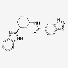 O=C(N[C@@H]1CCC[C@H](c2nc3ccccc3[nH]2)C1)c1ccc2snnc2c1